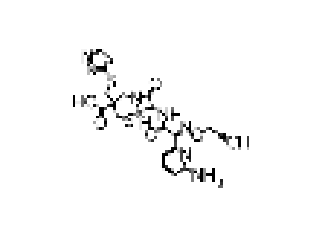 C#CCON=C(C(=O)NC1C(=O)N2CC(CSc3nncs3)(C(=O)O)CS[C@H]12)c1cccc(N)n1